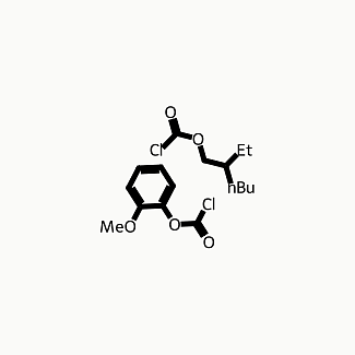 CCCCC(CC)COC(=O)Cl.COc1ccccc1OC(=O)Cl